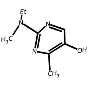 CCN(C)c1ncc(O)c(C)n1